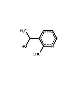 [CH2]C(O)c1cccnc1C=O